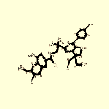 COc1cc(C(=O)NCC(O)(c2cc3c(c(-c4ccc(F)cc4)n2)OCC3(CF)CF)C(F)(F)F)cc2cc(F)c(CO)nc12